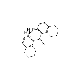 Pc1ccc2c(c1C(=S)c1c(P)ccc3c1CCCC3)CCCC2